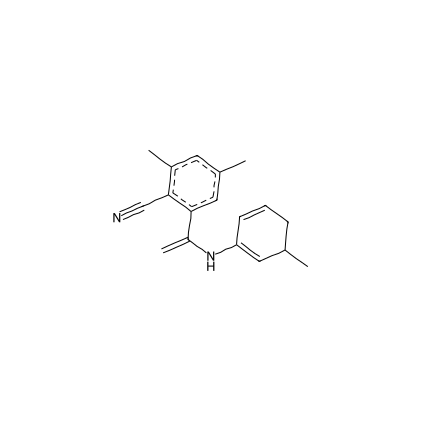 C=C(NC1=CC(C)CC=C1)c1cc(C)cc(C)c1C#N